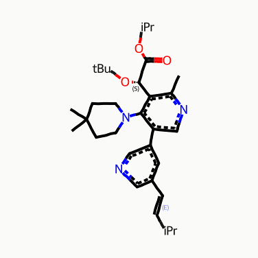 Cc1ncc(-c2cncc(/C=C/C(C)C)c2)c(N2CCC(C)(C)CC2)c1[C@H](OC(C)(C)C)C(=O)OC(C)C